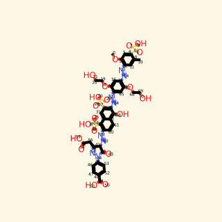 COc1cc(S(=O)(=O)O)c(C)cc1/N=N/c1cc(OCCO)c(/N=N/c2c(S(=O)(=O)O)cc3c(S(=O)(=O)O)c(/N=N/C4C(=O)N(c5ccc(C(=O)O)cc5)N=C4CC(=O)O)ccc3c2O)cc1OCCO